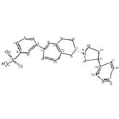 CS(=O)(=O)c1cccc(-c2ccc3c(c2)CCC(N2CCC(c4ccccc4)C2)C3)c1